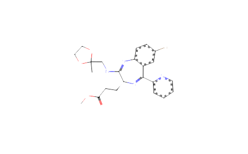 COC(=O)CC[C@@H]1N=C(c2ccccn2)c2cc(Br)ccc2N=C1NCC1(C)OCCO1